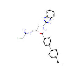 C#Cc1ccc(-c2ccc(C(=O)N[C@@H](CCCNC(=N)CF)c3nc4ccccc4[nH]3)cc2)cc1